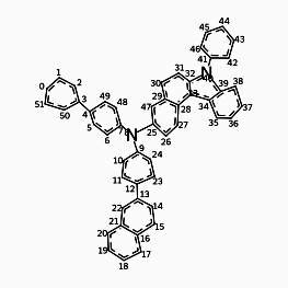 c1ccc(-c2ccc(N(c3ccc(-c4ccc5ccccc5c4)cc3)c3ccc4c(ccc5c4c4ccccc4n5-c4ccccc4)c3)cc2)cc1